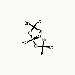 CCC(Br)(Br)OP(=O)(O)OC(Br)(Br)CC